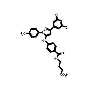 Cc1ccc(-n2nc(-c3cc(Cl)cc(Cl)c3)cc2Nc2ccc(C(=O)NCCCC(=O)O)cc2)cc1